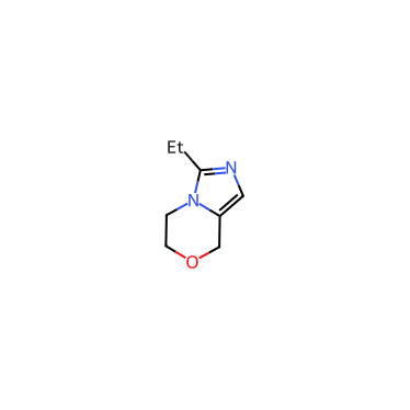 CCc1ncc2n1CCOC2